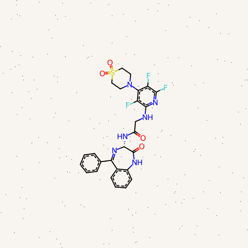 O=C(CNc1nc(F)c(F)c(N2CCS(=O)(=O)CC2)c1F)N[C@H]1N=C(c2ccccc2)c2ccccc2NC1=O